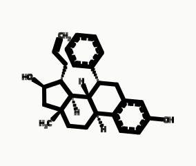 C=CC[C@@H]1[C@H]2[C@H]3[C@H](CC[C@]2(C)C[C@H]1O)c1ccc(O)cc1C[C@H]3c1ccccc1